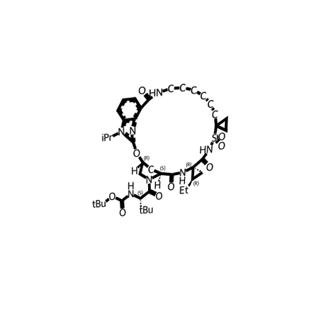 CC[C@@H]1C[C@@]12NC(=O)[C@@H]1C[C@H](CN1C(=O)[C@@H](NC(=O)OC(C)(C)C)C(C)(C)C)Oc1nc3c(cccc3n1C(C)C)C(=O)NCCCCCCC1(CC1)S(=O)(=O)NC2=O